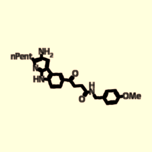 CCCCCc1nc2[nH]c3ccc(C(=O)CCC(=O)NCc4ccc(OC)cc4)cc3c2cc1N